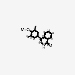 COc1c(C)cc(-c2n[nH]c(=O)c3ccccc23)cc1C